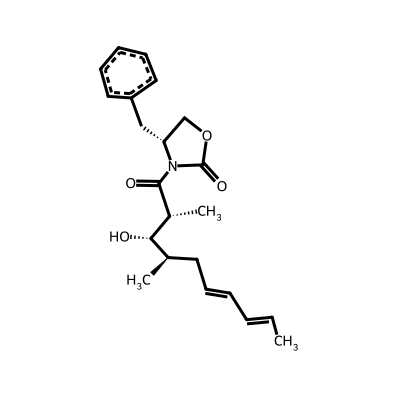 C/C=C/C=C/C[C@@H](C)[C@H](O)[C@@H](C)C(=O)N1C(=O)OC[C@H]1Cc1ccccc1